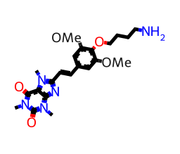 COc1cc(/C=C/c2nc3c(c(=O)n(C)c(=O)n3C)n2C)cc(OC)c1OCCCCN